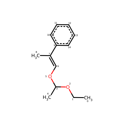 CCOC(C)OC=C(C)c1ccccc1